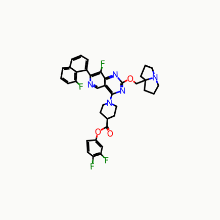 O=C(Oc1ccc(F)c(F)c1)C1CCN(c2nc(OCC34CCCN3CCC4)nc3c(F)c(-c4cccc5cccc(F)c45)ncc23)CC1